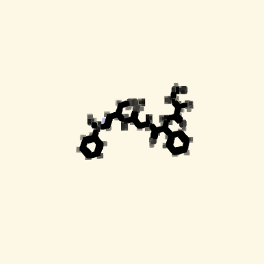 CC[C@H](NC=O)C(=O)NC(C(=O)NCC(=O)NC(/C=C/[S+]([O-])c1ccccc1)CC(=O)O)c1ccccc1